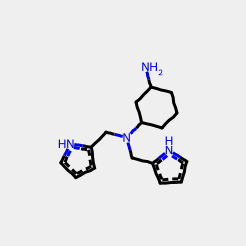 NC1CCCC(N(Cc2ccc[nH]2)Cc2ccc[nH]2)C1